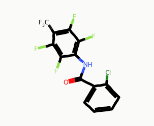 O=C(Nc1c(F)c(F)c(C(F)(F)F)c(F)c1F)c1ccccc1Cl